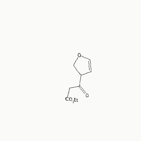 CCOC(=O)CC(=O)C1C=COC1